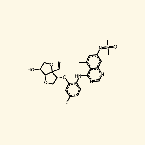 C=CC12OC[C@H](O)C1OC[C@H]2Oc1cc(F)ccc1Nc1ncnc2cc(N=S(C)(C)=O)cc(C)c12